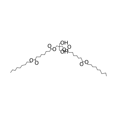 CCCCCCCCCOC(=O)CCCCCCC(=O)OCC(CO)(CO)COC(=O)CCCCCCC(=O)OCCCCCCCCC